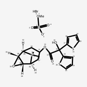 Br.COS(=O)(=O)[O-].C[N+]1(C)[C@@H]2CC(OC(=O)C(O)(c3cccs3)c3cccs3)C[C@H]1[C@@H]1O[C@@H]12